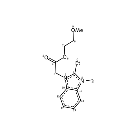 CCc1n(CC(=O)OCCOC)c2ccccc2[n+]1C